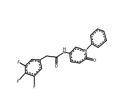 O=C(Cc1cc(F)c(F)c(F)c1)Nc1ccc(=O)n(-c2ccccc2)c1